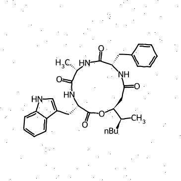 CCCC[C@H](C)[C@@H]1CC(=O)N[C@@H](Cc2ccccc2)C(=O)N[C@@H](C)C(=O)N[C@@H](Cc2c[nH]c3ccccc23)C(=O)O1